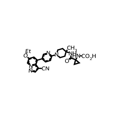 CCOc1cc(-c2ccc(N3CCC(C)(NC(=O)C4(NC(=O)O)CC4)CC3)nc2)c2c(C#N)cnn2c1